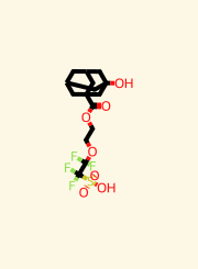 O=C(OCCOC(F)(F)C(F)(F)S(=O)(=O)O)C12CC3CC(CC(O)(C3)C1)C2